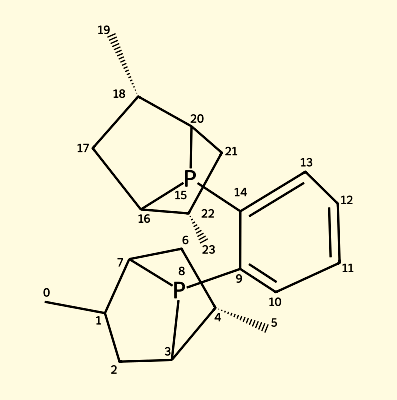 CC1CC2[C@@H](C)CC1P2c1ccccc1P1C2C[C@H](C)C1C[C@@H]2C